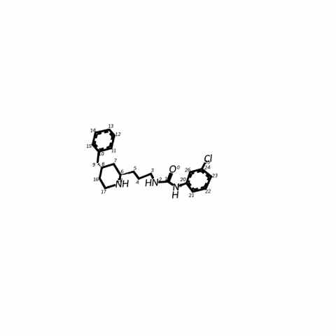 O=C(NCCC[C@@H]1C[C@@H](Cc2ccccc2)CCN1)Nc1cccc(Cl)c1